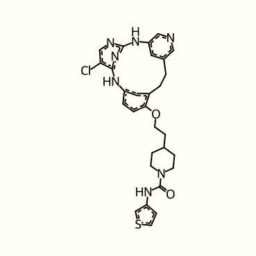 O=C(Nc1ccsc1)N1CCC(CCOc2ccc3cc2CCc2cncc(c2)Nc2ncc(Cl)c(n2)N3)CC1